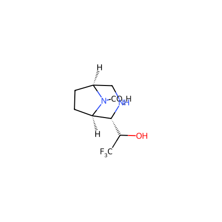 O=C(O)N1[C@H]2CC[C@@H]1[C@@H](C(O)C(F)(F)F)NC2